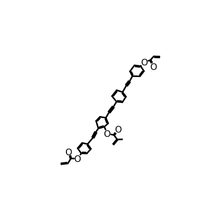 C=CC(=O)Oc1ccc(C#Cc2ccc(C#Cc3ccc(C#Cc4ccc(OC(=O)C=C)cc4)c(OC(=O)C(=C)C)c3)cc2)cc1